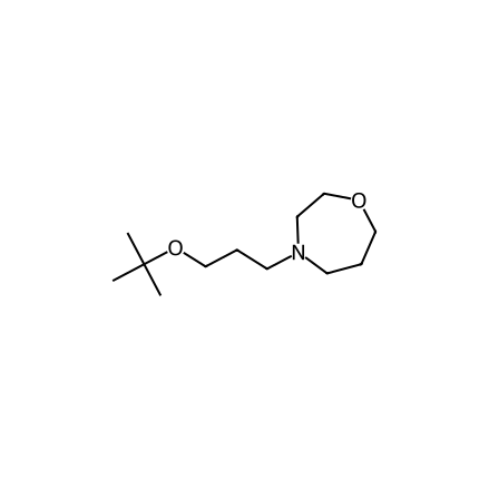 CC(C)(C)OCCCN1CCCOCC1